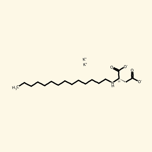 CCCCCCCCCCCCCCN[C@@H](CC(=O)[O-])C(=O)[O-].[K+].[K+]